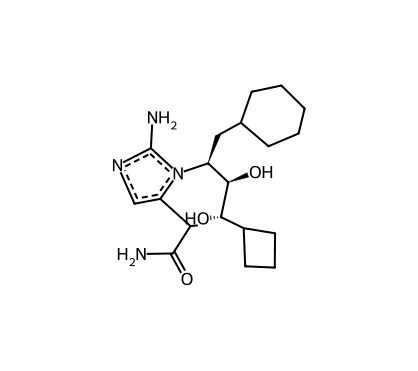 CC(C(N)=O)c1cnc(N)n1[C@@H](CC1CCCCC1)[C@@H](O)[C@@H](O)C1CCC1